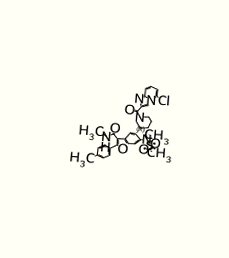 CNC(=O)c1c(-c2ccc(C)cc2)oc2cc(N(C)S(C)(=O)=O)c([C@H]3CCCN(C(=O)c4cn5c(Cl)cccc5n4)C3)cc12